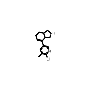 Cc1cc(C2=CCCC3CNCC23)cnc1Cl